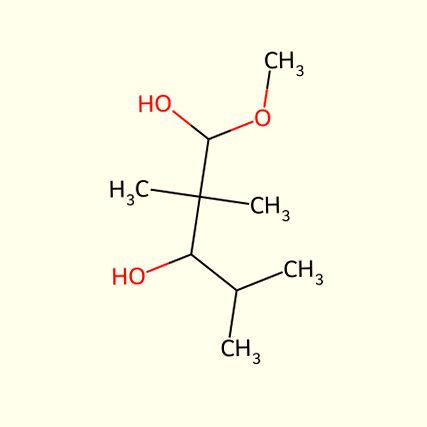 COC(O)C(C)(C)C(O)C(C)C